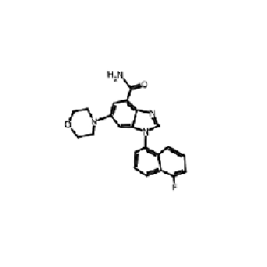 NC(=O)c1cc(N2CCOCC2)cc2c1ncn2-c1cccc2c(F)cccc12